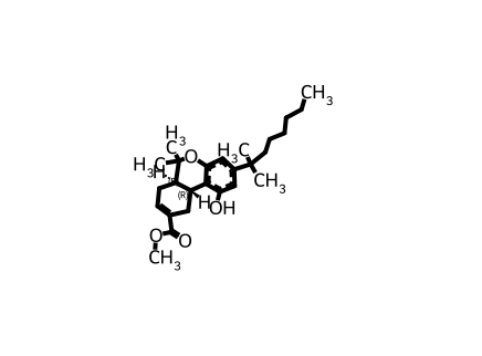 CCCCCCC(C)(C)c1cc(O)c2c(c1)OC(C)(C)[C@@H]1CC=C(C(=O)OC)C[C@@H]21